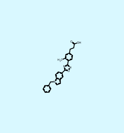 Cc1cc(CCC(=O)O)ccc1-c1noc(-c2ccc3c(ccn3Cc3ccccc3)c2)n1